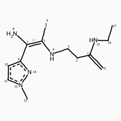 C=C(CCN/C(I)=C(/N)c1ccn(C)n1)NCC